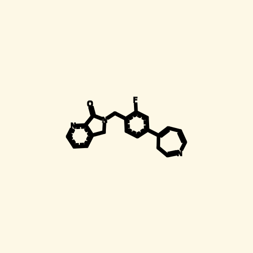 O=C1c2ncccc2CN1Cc1ccc(C2=CC=CN=CC2)cc1F